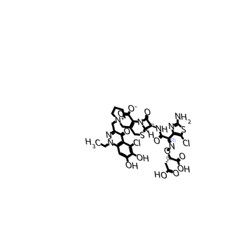 CCn1nc(C[N+]2(CC3=C(C(=O)[O-])N4C(=O)[C@@H](NC(=O)/C(=N\O[C@@H](CC(=O)O)C(=O)O)c5nc(N)sc5Cl)[C@H]4SC3)CCCC2)c(=O)c2c(Cl)c(O)c(O)cc21